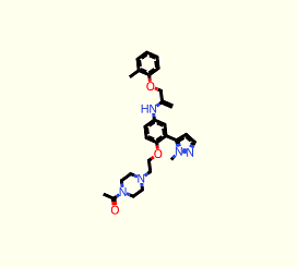 C=C(COc1ccccc1C)Nc1ccc(OCCN2CCN(C(C)=O)CC2)c(-c2ccnn2C)c1